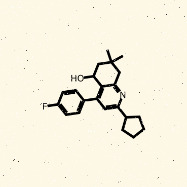 CC1(C)Cc2nc(C3CCCC3)[c]c(-c3ccc(F)cc3)c2C(O)C1